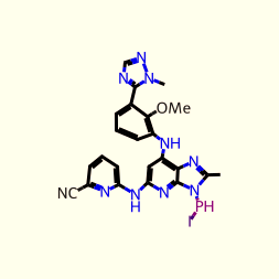 COc1c(Nc2cc(Nc3cccc(C#N)n3)nc3c2nc(C)n3PI)cccc1-c1ncnn1C